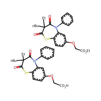 CCCCC1(CC)C(=O)Sc2ccc(OCC(=O)O)cc2N(c2ccccc2)C1=O.CCCCC1(CC)C(=O)Sc2ccc(OCC(=O)OCC)cc2N(c2ccccc2)C1=O